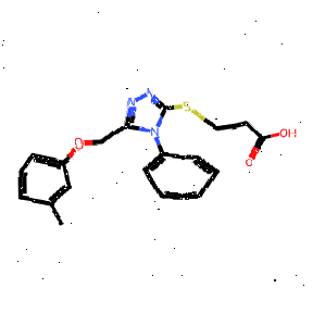 Cc1cccc(OCc2nnc(SCCC(=O)O)n2-c2ccccc2)c1